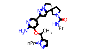 CCCn1nccc1C(C)Oc1cc(-c2cc3n(n2)CC[C@@]32CCN(C(=O)NCC)C2)cnc1N